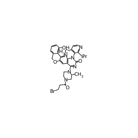 Cc1ccnc(C(C)C)c1-n1c(=O)nc(N2CCN(C(=O)CCBr)C[C@@H]2C)c2cc3c(nc21)-c1c(O)cccc1CO3